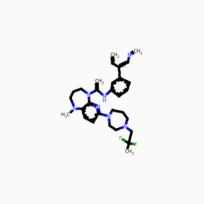 C=C/C(=C\N=C)c1cccc(NC(=C)N2CCCN(C)c3ccc(N4CCCN(CC(C)(F)F)CC4)nc32)c1